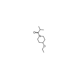 CCOC1CCN(C(=O)C(C)C)CC1